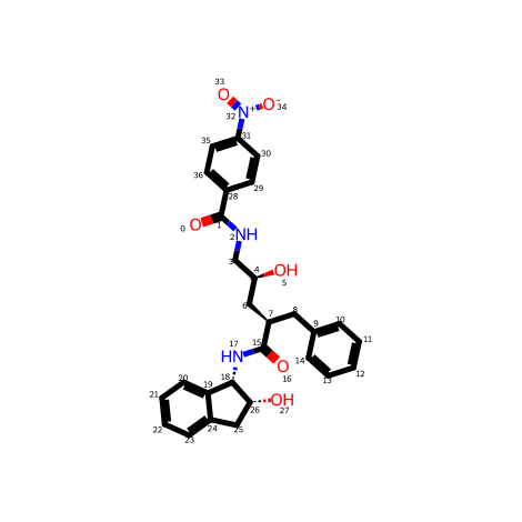 O=C(NC[C@@H](O)C[C@@H](Cc1ccccc1)C(=O)N[C@H]1c2ccccc2C[C@H]1O)c1ccc([N+](=O)[O-])cc1